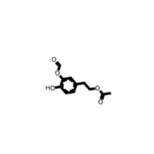 CC(=O)OCCc1ccc(O)c(OC=O)c1